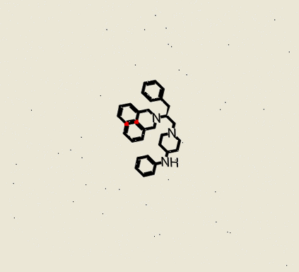 c1ccc(C[C@@H](CN2CCC(Nc3ccccc3)CC2)N(Cc2ccccc2)Cc2ccccc2)cc1